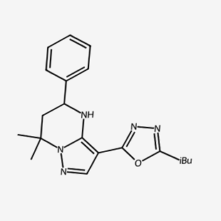 CCC(C)c1nnc(-c2cnn3c2NC(c2ccccc2)CC3(C)C)o1